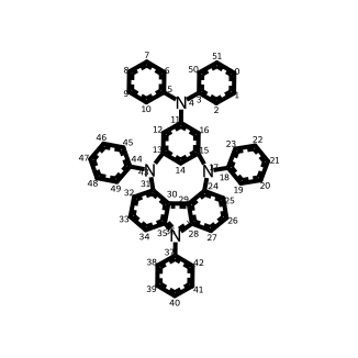 c1ccc(N(c2ccccc2)c2cc3cc(c2)N(c2ccccc2)c2cccc4c2c2c(cccc2n4-c2ccccc2)N3c2ccccc2)cc1